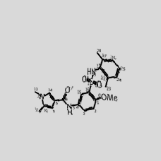 COc1ccc(NC(=O)c2cc(C)n(C)c2)cc1S(=O)(=O)Nc1c(C)cccc1C